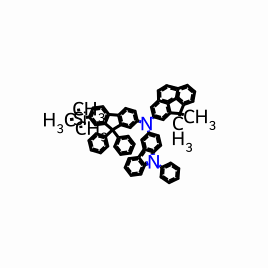 CC1(C)c2cccc3ccc4cc(N(c5ccc6c(c5)C(c5ccccc5)(c5ccccc5)c5cc([Si](C)(C)C)ccc5-6)c5ccc6c(c5)c5ccccc5n6-c5ccccc5)cc1c4c23